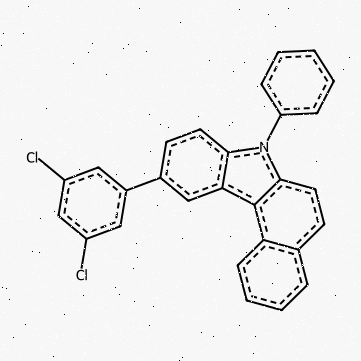 Clc1cc(Cl)cc(-c2ccc3c(c2)c2c4ccccc4ccc2n3-c2ccccc2)c1